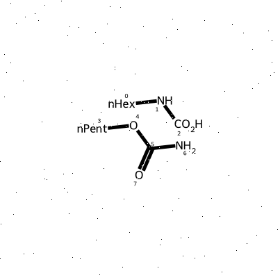 CCCCCCNC(=O)O.CCCCCOC(N)=O